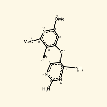 COc1cc(Oc2cnc(N)nc2N)c(C(C)C)c(OC)n1